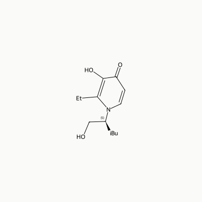 CCc1c(O)c(=O)ccn1[C@H](CO)C(C)CC